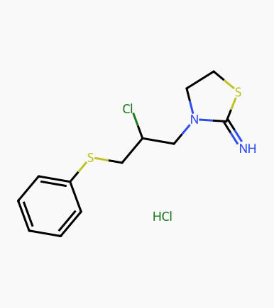 Cl.N=C1SCCN1CC(Cl)CSc1ccccc1